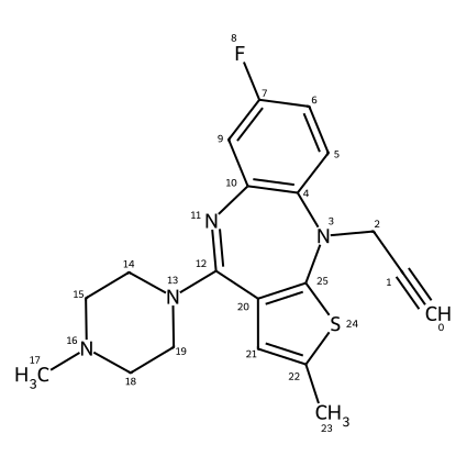 C#CCN1c2ccc(F)cc2N=C(N2CCN(C)CC2)c2cc(C)sc21